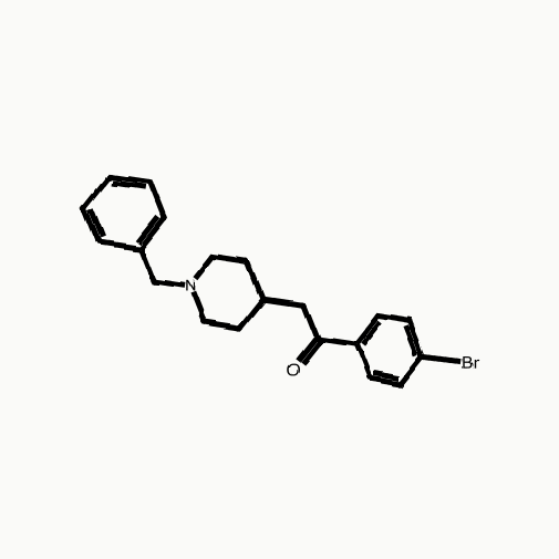 O=C(CC1CCN(Cc2ccccc2)CC1)c1ccc(Br)cc1